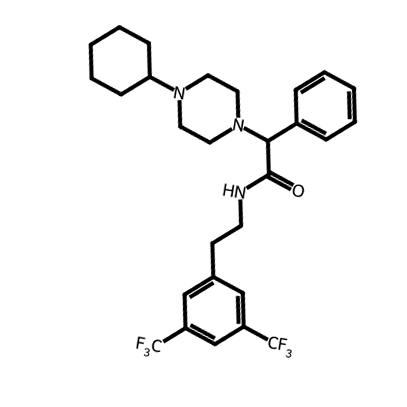 O=C(NCCc1cc(C(F)(F)F)cc(C(F)(F)F)c1)C(c1ccccc1)N1CCN(C2CCCCC2)CC1